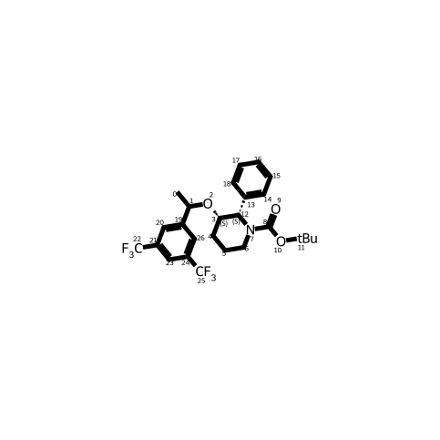 CC(O[C@H]1CCCN(C(=O)OC(C)(C)C)[C@H]1c1ccccc1)c1cc(C(F)(F)F)cc(C(F)(F)F)c1